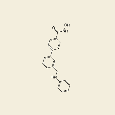 O=C(NO)c1ccc(-c2cccc(CNc3ccccc3)c2)cc1